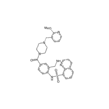 COc1ncccc1CN1CCN(C(=O)c2ccc(NS(=O)(=O)c3cccc4cccnc34)c(CN)c2)CC1